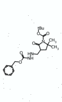 CC(C)(C)OC(=O)N1C(=O)C(CNNC(=O)OCc2ccccc2)CC1(C)C